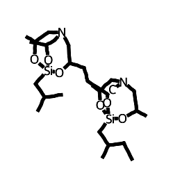 CCC(C)C[Si]12OC(C)CN(CC(C)O1)CC(CCC1CN3CC(C)O[Si](CC(C)C)(OC(C)C3)O1)O2